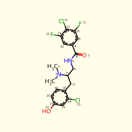 CN(C)C(CNC(=O)c1cc(F)c(Cl)c(F)c1)Cc1ccc(O)cc1Cl